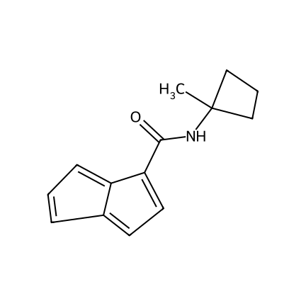 CC1(NC(=O)C2=CC=C3C=CC=C32)CCC1